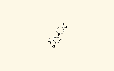 Cc1cc(Cl)c(C(C)(C)C)nc1N1CCCC(F)(F)CC1